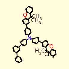 CC1(C)c2ccccc2Oc2ccc(-c3ccc(N(c4ccc(-c5cccc(-c6ccccc6)c5)cc4)c4ccc(-c5ccc6c(c5)C(C)(C)c5ccccc5O6)cc4)cc3)cc21